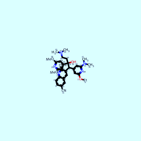 CCOc1cc(C(c2cc3cc(C#N)ccc3nc2OC)C(O)(CCN(C)C)c2cc(OC)nc(OC)c2)cc(N(C)C)n1